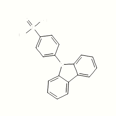 O=P(O)(O)c1ccc(-n2c3ccccc3c3ccccc32)cc1